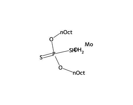 CCCCCCCCOP(=S)(S)OCCCCCCCC.O.[Mo]